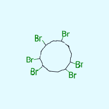 BrC1CCC(Br)C(Br)CCC(Br)C(Br)CC(Br)C1